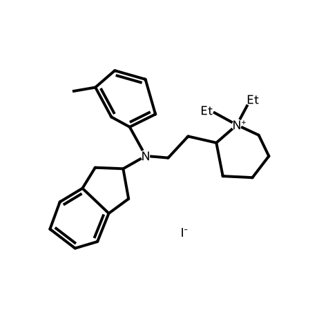 CC[N+]1(CC)CCCCC1CCN(c1cccc(C)c1)C1Cc2ccccc2C1.[I-]